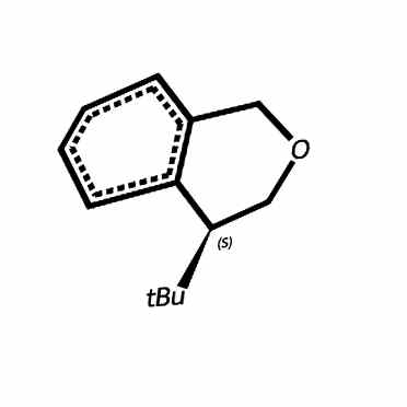 CC(C)(C)[C@@H]1COCc2ccccc21